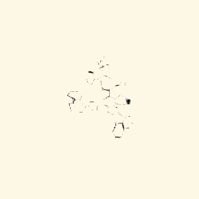 CCN(c1ccccc1[N+](=O)[O-])c1sc(C(=C2C=CC(=[N+](CC)c3c(F)cccc3F)C=C2)c2ccc(N(CC)c3c(F)cccc3F)cc2)c(-c2ccccc2)c1C#N